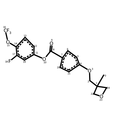 CC1(COc2ccc(C(=O)Oc3ccc(OC(F)(F)F)c(F)c3)cc2)COC1